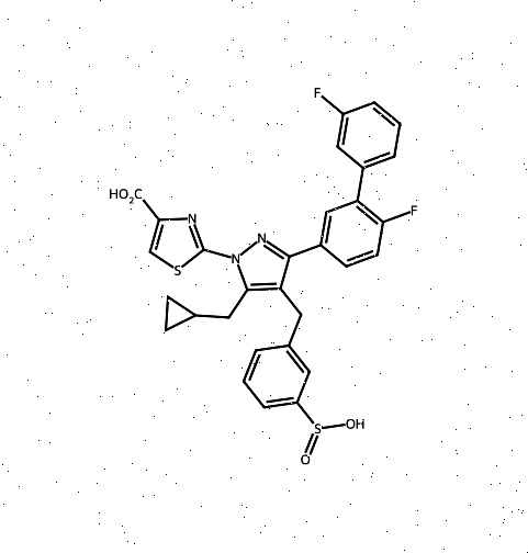 O=C(O)c1csc(-n2nc(-c3ccc(F)c(-c4cccc(F)c4)c3)c(Cc3cccc(S(=O)O)c3)c2CC2CC2)n1